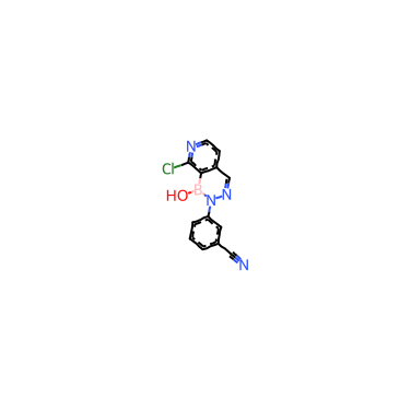 N#Cc1cccc(N2N=Cc3ccnc(Cl)c3B2O)c1